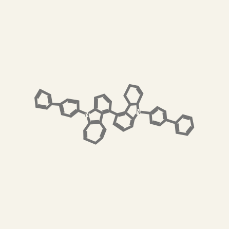 C1=Cc2c(n(-c3ccc(-c4ccccc4)cc3)c3cccc(-c4cccc5c4C4CCC=CC4N5c4ccc(-c5ccccc5)cc4)c23)C=CC1